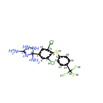 NC1=NC(N)(c2cc(Cl)c(Sc3ccc(C(F)(F)F)cc3)c(Cl)c2)NN1